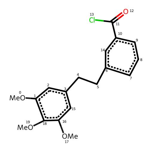 COc1cc(CCc2cccc(C(=O)Cl)c2)cc(OC)c1OC